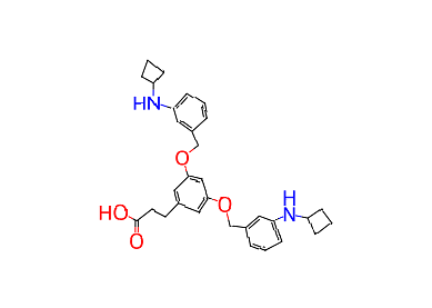 O=C(O)CCc1cc(OCc2cccc(NC3CCC3)c2)cc(OCc2cccc(NC3CCC3)c2)c1